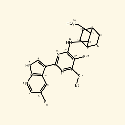 CCSc1nc(-c2c[nH]c3ncc(F)cc23)nc(NC2C3CCC(CC3)C2C(=O)O)c1F